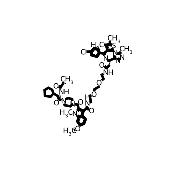 C[CH]C(=O)N[C@H](C(=O)N1CCN(C(=O)c2c(C(=O)NCCOCCOCCNC(=O)C[C@@H]3N=C(c4ccc(Cl)cc4)c4c(sc(C)c4C)-n4c(C)nnc43)c3ccc(OC)cc3n2C)CC1)C1CCCCC1